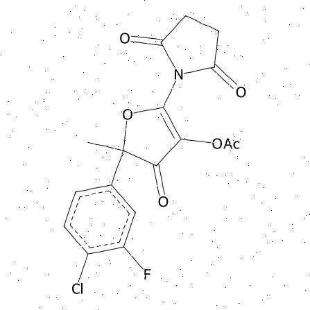 CC(=O)OC1=C(N2C(=O)CCC2=O)OC(C)(c2ccc(Cl)c(F)c2)C1=O